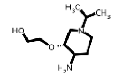 CC(C)N1CCC(N)[C@H](OCCO)C1